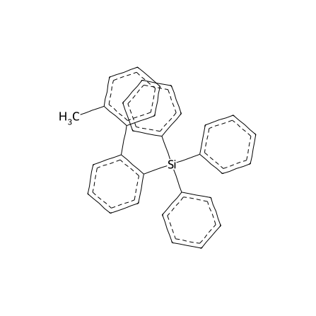 Cc1ccccc1-c1ccccc1[Si](c1ccccc1)(c1ccccc1)c1ccccc1